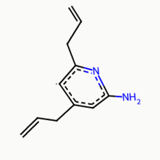 C=CCc1[c]c(CC=C)nc(N)c1